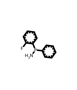 NP(c1ccccc1)c1ccccc1F